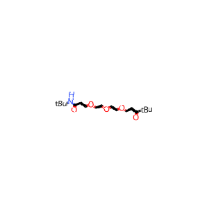 CC(C)(C)NC(=O)CCOCCOCCOCCC(=O)C(C)(C)C